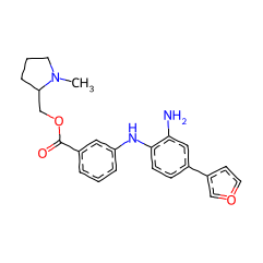 CN1CCCC1COC(=O)c1cccc(Nc2ccc(-c3ccoc3)cc2N)c1